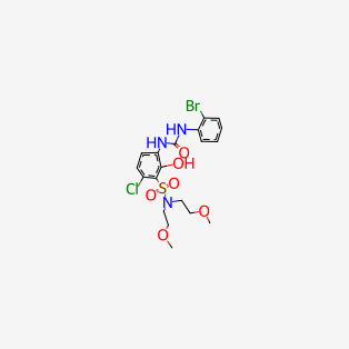 COCCN(CCOC)S(=O)(=O)c1c(Cl)ccc(NC(=O)Nc2ccccc2Br)c1O